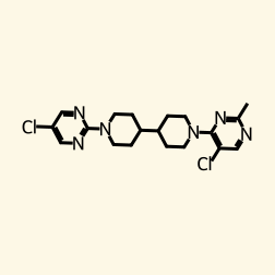 Cc1ncc(Cl)c(N2CCC(C3CCN(c4ncc(Cl)cn4)CC3)CC2)n1